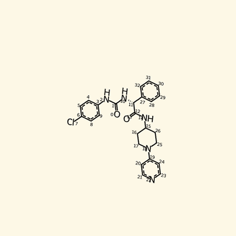 O=C(Nc1ccc(Cl)cc1)N[C@@H](C(=O)NC1CCN(c2ccncc2)CC1)c1ccccc1